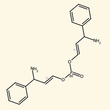 NC(/C=C/O[PH](=O)O/C=C/C(N)c1ccccc1)c1ccccc1